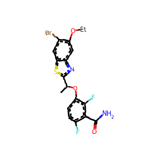 CCOc1cc2nc(C(C)Oc3ccc(F)c(C(N)=O)c3F)sc2cc1Br